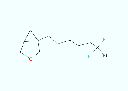 CCC(F)(F)CCCCCC12COCC1C2